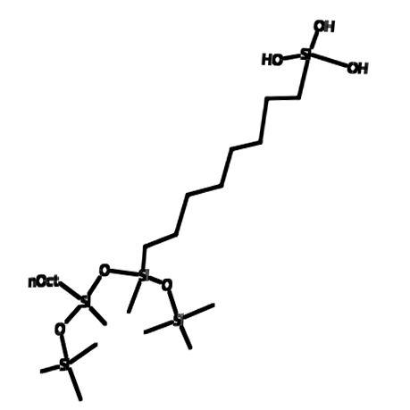 CCCCCCCC[Si](C)(O[Si](C)(C)C)O[Si](C)(CCCCCCCC[Si](O)(O)O)O[Si](C)(C)C